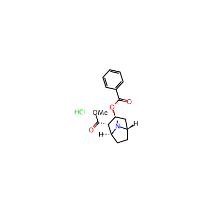 COC(=O)[C@@H]1[C@@H](OC(=O)c2ccccc2)C[C@@H]2CC[C@@H]1N2C.Cl